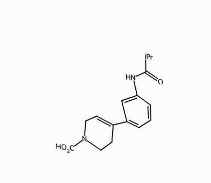 CC(C)C(=O)Nc1cccc(C2=CCN(C(=O)O)CC2)c1